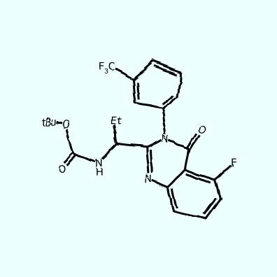 CCC(NC(=O)OC(C)(C)C)c1nc2cccc(F)c2c(=O)n1-c1cccc(C(F)(F)F)c1